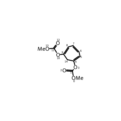 COC(=O)OC1=CC=CC=C(OC(=O)OC)C1